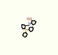 Oc1ccccc1/N=C/c1ccccc1P(c1ccccc1)c1ccccc1